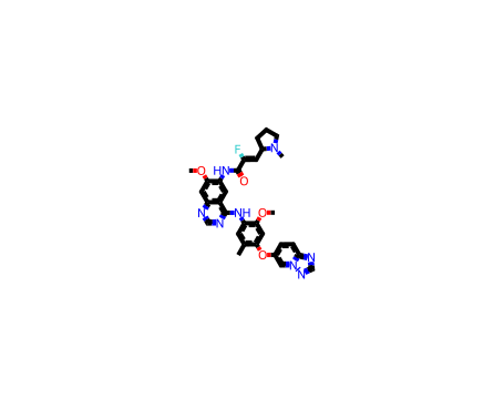 COc1cc2ncnc(Nc3cc(C)c(Oc4ccc5ncnn5c4)cc3OC)c2cc1NC(=O)/C(F)=C/C1CCCN1C